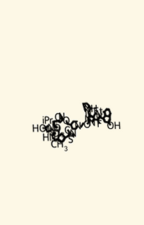 CCc1cccc2cc(O)cc(-c3ncc4c(N5CC6CCC(C5)N6)nc(OCCN5CCC(COc6cc([C@H](C(=O)N7C[C@H](O)C[C@H]7C(=O)N[C@@H](C)c7ccc(-c8scnc8C)cc7)C(C)C)on6)CC5)nc4c3F)c12